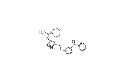 NC(=Nc1cc(CCc2cccc(C(=O)c3ccccc3)c2)no1)N1CCCCC1